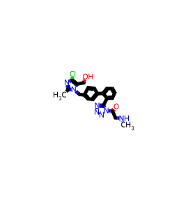 CNCC(=O)n1nnnc1-c1ccccc1-c1ccc(Cn2c(C)nc(Cl)c2CO)cc1